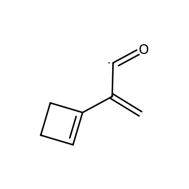 C=C([C]=O)C1=CCC1